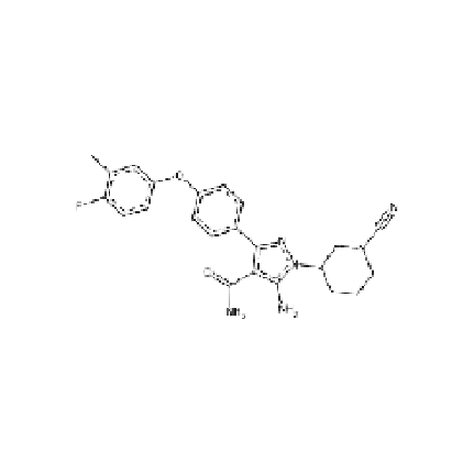 Cc1cc(Oc2ccc(-c3nn(C4CCCN(C#N)C4)c(N)c3C(N)=O)cc2)ccc1F